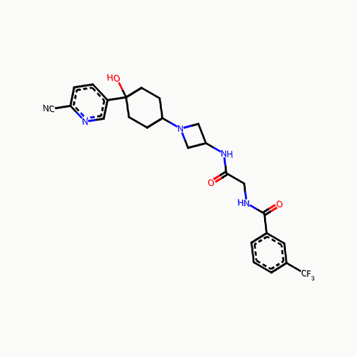 N#Cc1ccc(C2(O)CCC(N3CC(NC(=O)CNC(=O)c4cccc(C(F)(F)F)c4)C3)CC2)cn1